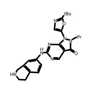 CC(C)n1c(=O)c2cnc(Nc3ccc4c(c3)CNCC4)nc2n1-c1cnc(C(C)(C)C)o1